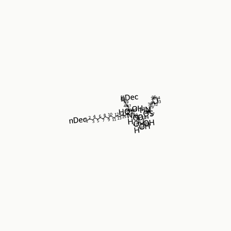 CCCCCCCCCCCCCCCCCCCCCCCCCCN[C@@H](CO[C@H]1O[C@H](COC(=S)NCCc2ccccc2)[C@H](O)[C@H](O)[C@H]1O)[C@H](O)[C@H](O)CCCCCCCCCCCCCC